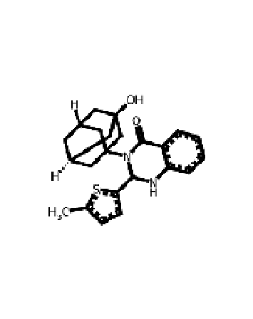 Cc1ccc(C2Nc3ccccc3C(=O)N2C23C[C@@H]4C[C@@H](CC(O)(C4)C2)C3)s1